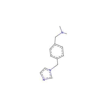 CN(C)Cc1ccc(Cn2[c]ncc2)cc1